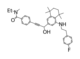 CCN(C)C(=O)c1ccc(C#CC(O)c2cc(NCCc3ccc(F)cc3)c3c(c2)C(C)(C)CCC3(C)C)cc1